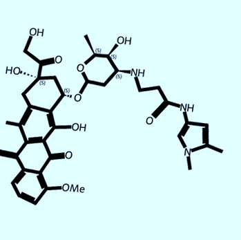 COc1cccc2c1C(=O)c1c(O)c3c(c(C)c1C2=O)C[C@@](O)(C(=O)CO)C[C@@H]3OC1C[C@H](NCCC(=O)Nc2cc(C)n(C)c2)[C@H](O)[C@H](C)O1